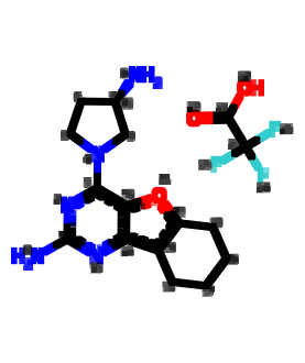 Nc1nc(N2CC[C@@H](N)C2)c2oc3c(c2n1)CCCC3.O=C(O)C(F)(F)F